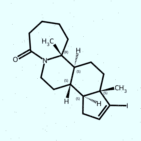 C[C@]12CC[C@H]3[C@@H](CCN4C(=O)CCCC[C@]34C)[C@@H]1CC=C2I